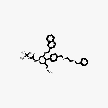 COCC1CN(OC(=O)OC(C)(C)C)CC(OCc2ccc3ccccc3c2)C1c1ccc(COCCOCc2ccccc2)cc1